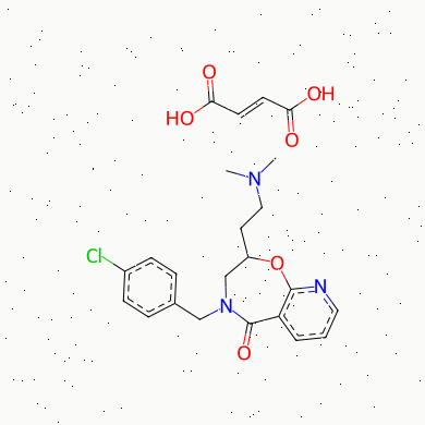 CN(C)CCC1CN(Cc2ccc(Cl)cc2)C(=O)c2cccnc2O1.O=C(O)C=CC(=O)O